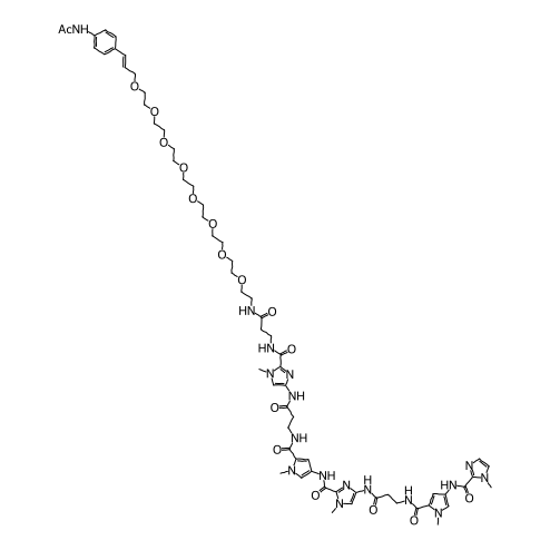 CC(=O)Nc1ccc(/C=C/COCCOCCOCCOCCOCCOCCOCCOCCNC(=O)CCNC(=O)c2nc(NC(=O)CCNC(=O)c3cc(NC(=O)c4nc(NC(=O)CCNC(=O)c5cc(NC(=O)c6nccn6C)cn5C)cn4C)cn3C)cn2C)cc1